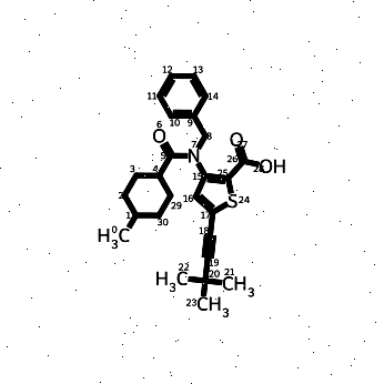 CC1CCC(C(=O)N(Cc2ccccc2)c2cc(C#CC(C)(C)C)sc2C(=O)O)CC1